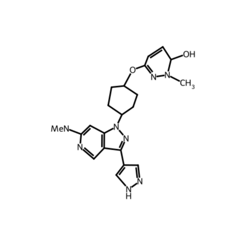 CNc1cc2c(cn1)c(-c1cn[nH]c1)nn2C1CCC(OC2=NN(C)C(O)C=C2)CC1